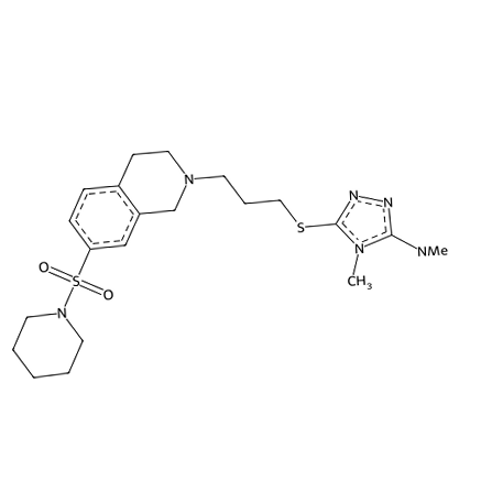 CNc1nnc(SCCCN2CCc3ccc(S(=O)(=O)N4CCCCC4)cc3C2)n1C